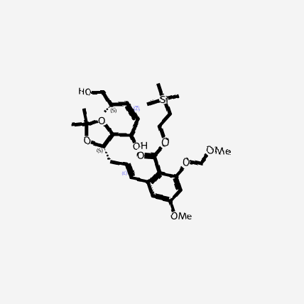 COCOc1cc(OC)cc(/C=C/C[C@@H]2OC(C)(C)OC2C(O)/C=C\[C@H](C)CO)c1C(=O)OCC[Si](C)(C)C